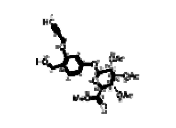 C#CCOc1cc(O[C@@H]2O[C@H](C(=O)OC)[C@@H](OC(C)=O)[C@H](OC(C)=O)[C@H]2OC(C)=O)ccc1CO